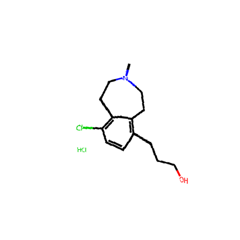 CN1CCc2c(Cl)ccc(CCCO)c2CC1.Cl